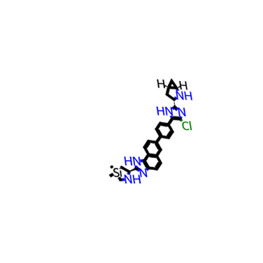 C[Si]1(C)CN[C@H](c2nc3ccc4cc(-c5ccc(-c6[nH]c([C@@H]7C[C@H]8C[C@H]8N7)nc6Cl)cc5)ccc4c3[nH]2)C1